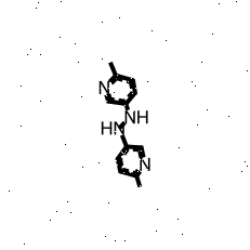 Cc1ccc(NNc2ccc(C)nc2)cn1